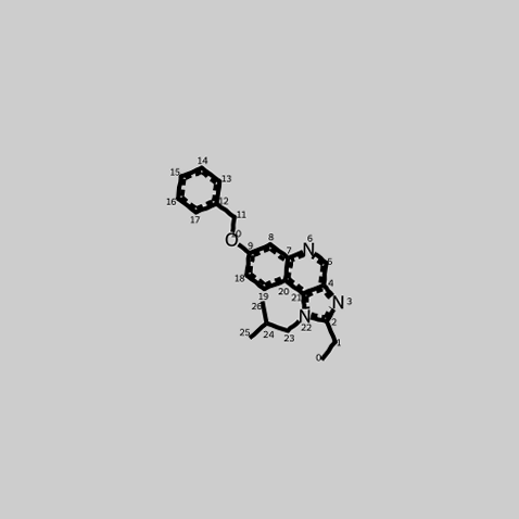 CCc1nc2cnc3cc(OCc4ccccc4)ccc3c2n1CC(C)C